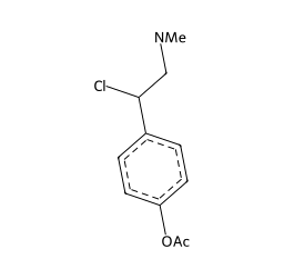 CNCC(Cl)c1ccc(OC(C)=O)cc1